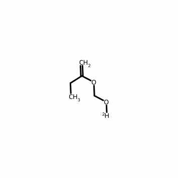 [2H]OCOC(=C)CC